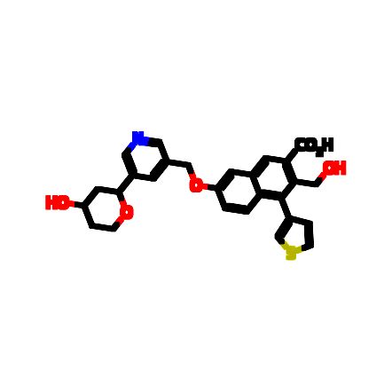 O=C(O)c1cc2cc(OCc3cncc(C4CC(O)CCO4)c3)ccc2c(-c2ccsc2)c1CO